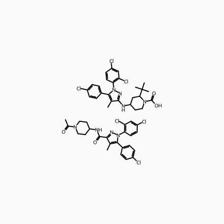 CC(=O)N1CCC(NC(=O)c2nn(-c3ccc(Cl)cc3Cl)c(-c3ccc(Cl)cc3)c2C)CC1.Cc1c(NC2CCN(C(=O)O)C(C(C)(C)C)C2)nn(-c2ccc(Cl)cc2Cl)c1-c1ccc(Cl)cc1